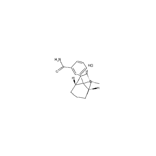 COC1(c2cccc(C(N)=O)c2)[C@@H]2CCC[C@H]1CNC2.Cl